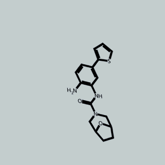 Nc1ccc(-c2cccs2)cc1NC(=O)N1CC2CCC(C1)O2